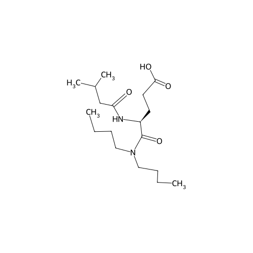 CCCCN(CCCC)C(=O)[C@H](CCC(=O)O)NC(=O)CC(C)C